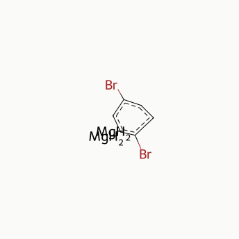 Brc1ccc(Br)cc1.[MgH2].[MgH2]